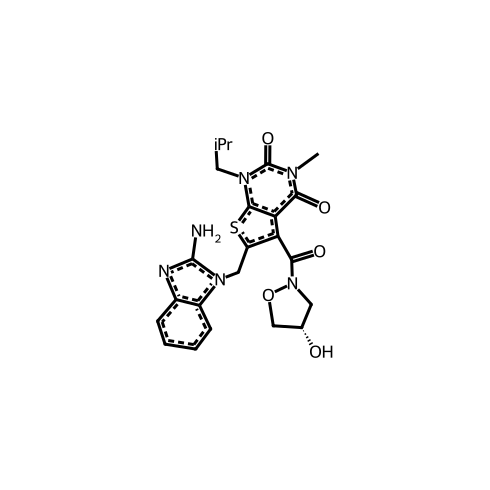 CC(C)Cn1c(=O)n(C)c(=O)c2c(C(=O)N3C[C@H](O)CO3)c(Cn3c(N)nc4ccccc43)sc21